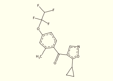 Cc1cc(OC(F)(F)C(F)F)ccc1C(=O)c1cnoc1C1CC1